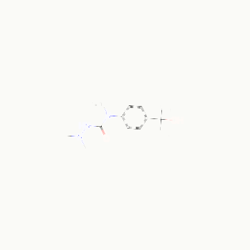 CCCN(C(=O)NN(C)C)c1ccc(C(O)(C(F)(F)F)C(F)(F)F)cc1